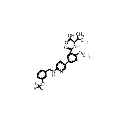 COc1ccc(-c2ccc(NCc3cccc(OC(F)(F)F)c3)nc2)cc1C(=O)NC(C(=O)O)C(C)C